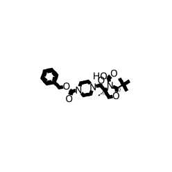 CC(C)(C)[C@H]1OC[C@@](C)(C(=O)N2CCN(C(=O)OCc3ccccc3)CC2)N1C(=O)O